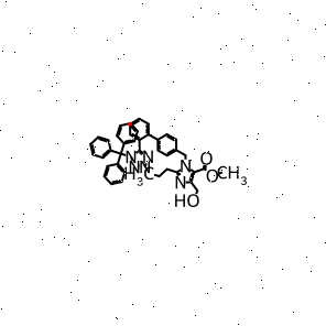 CCCc1nc(CO)c(C(=O)OC)n1Cc1ccc(-c2ccccc2-c2nnnn2C(c2ccccc2)(c2ccccc2)c2ccccc2)cc1